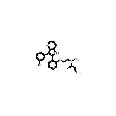 C=CC(=O)N(C)CCOc1cnccc1-c1[nH]c2cccnc2c1-c1cccc(CC)c1